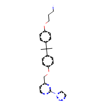 CC(C)(c1ccc(OCCCN)cc1)c1ccc(OCc2ccnc(-n3ccnn3)n2)cc1